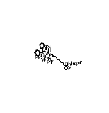 CCCCCCCC1(CCCCCCC=C[C@H](C(=O)N2C(=S)OC(c3ccccc3)(c3ccccc3)C2C(C)C)[C@@](O)(CC(F)F)C(=O)O)OCCO1